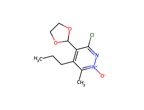 CCCc1c(C2OCCO2)c(Cl)n[n+]([O-])c1C